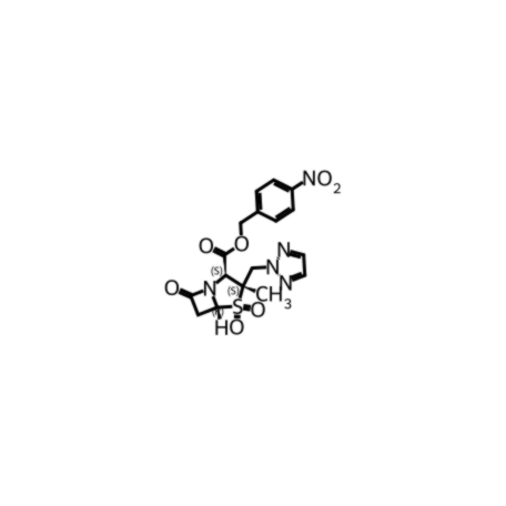 C[C@]1(Cn2nccn2)[C@H](C(=O)OCc2ccc([N+](=O)[O-])cc2)N2C(=O)C[C@H]2S1(=O)=O